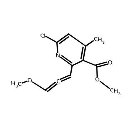 COC=C=Cc1nc(Cl)cc(C)c1C(=O)OC